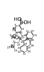 COc1ncc(B(O)O)cc1C(c1ccccc1)C(O)(CCN(C)C)c1cccc2ccccc12